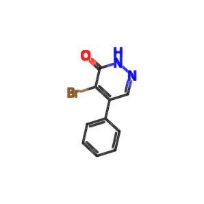 O=c1[nH]ncc(-c2ccccc2)c1Br